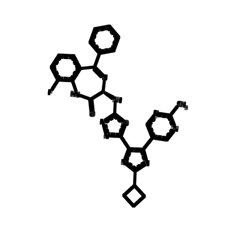 Cc1ncc(-c2sc(C3CCC3)nc2-c2nnc(N[C@@H]3N=C(c4ccccc4)c4cccc(F)c4NC3=O)o2)cn1